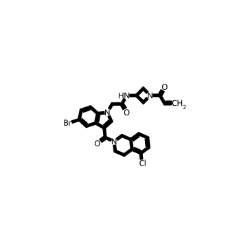 C=CC(=O)N1CC(NC(=O)Cn2cc(C(=O)N3CCc4c(Cl)cccc4C3)c3cc(Br)ccc32)C1